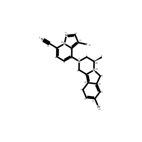 C[C@@H]1CN(c2ccc(C#N)n3ncc(F)c23)CC2=C3CC=C(Br)C=C3CN21